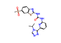 CC(C)n1cnnc1-c1cccc(NC(=O)Nc2nc3ccc(S(C)(=O)=O)cc3s2)n1